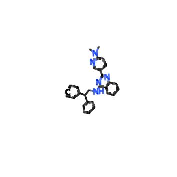 CN(C)c1ccc(-c2nc(NCC(c3ccccc3)c3ccccc3)c3ccccc3n2)cn1